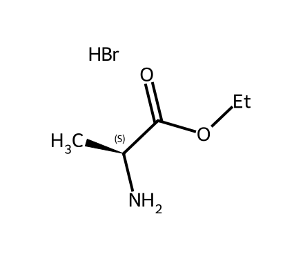 Br.CCOC(=O)[C@H](C)N